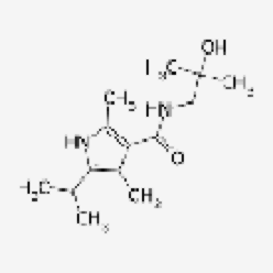 Cc1[nH]c(C(C)C)c(C)c1C(=O)NCC(C)(C)O